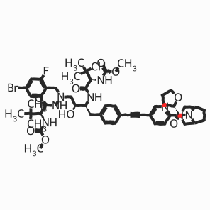 COC(=O)N[C@H](C(=O)N[C@@H](Cc1ccc(C#Cc2ccc(N3CC4CCC(C3)N4C(=O)[C@@H]3CCCO3)nc2)cc1)[C@@H](O)CN(Cc1c(F)cc(Br)cc1F)NC(=O)[C@@H](NC(=O)OC)C(C)(C)C)C(C)(C)C